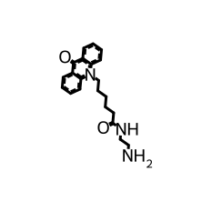 NCCNC(=O)CCCCCn1c2ccccc2c(=O)c2ccccc21